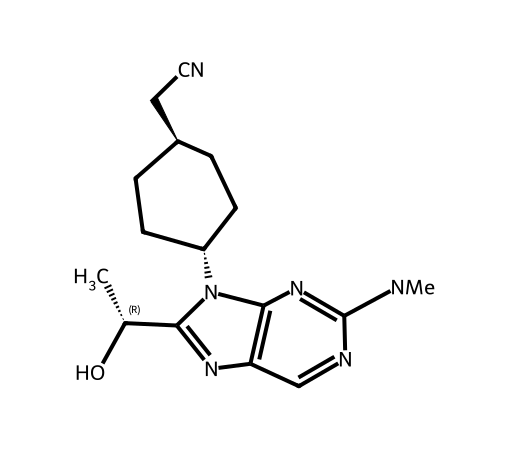 CNc1ncc2nc([C@@H](C)O)n([C@H]3CC[C@H](CC#N)CC3)c2n1